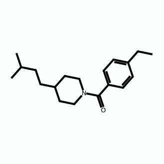 CCc1ccc(C(=O)N2CCC(CCC(C)C)CC2)cc1